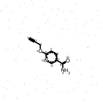 C#CCOc1ccc(C(N)=O)cn1